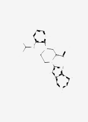 CC(C)Nc1cccnc1N1CCN(c2cc3cnccc3[nH]2)C(C=O)C1